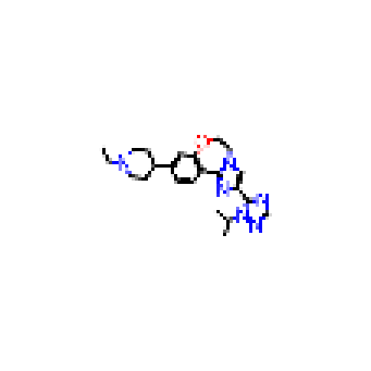 CCN1CCC(c2ccc3c(c2)OCCn2cc(-c4ncnn4C(C)C)nc2-3)CC1